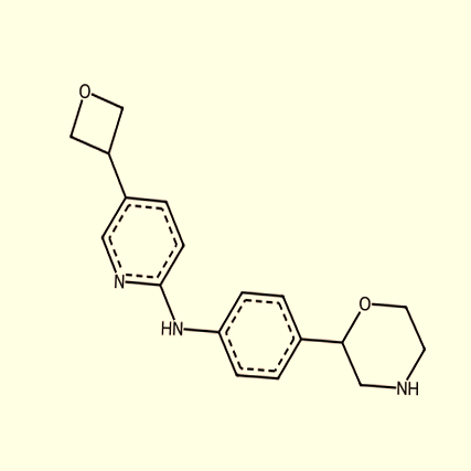 c1cc(C2CNCCO2)ccc1Nc1ccc(C2COC2)cn1